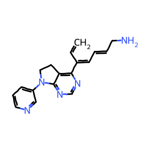 C=C/C(=C\C=C\CN)c1ncnc2c1CCN2c1cccnc1